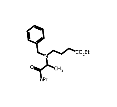 CCCC(=O)C(C)N(CCCC(=O)OCC)Cc1ccccc1